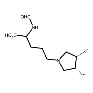 O=CNC(CCCN1C[C@@H](F)[C@@H](F)C1)C(=O)O